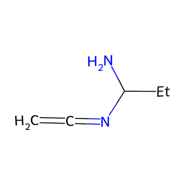 C=C=NC(N)CC